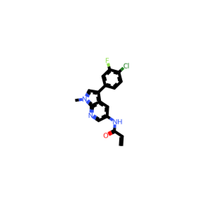 C=CC(=O)Nc1cnc2c(c1)c(-c1ccc(Cl)c(F)c1)cn2C